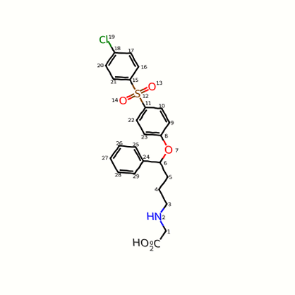 O=C(O)CNCCCC(Oc1ccc(S(=O)(=O)c2ccc(Cl)cc2)cc1)c1ccccc1